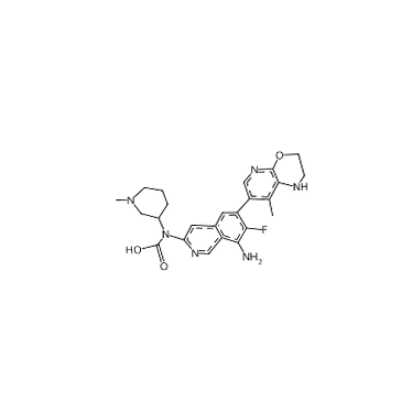 Cc1c(-c2cc3cc(N(C(=O)O)C4CCCN(C)C4)ncc3c(N)c2F)cnc2c1NCCO2